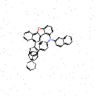 c1c(C2C=CC=CC2)ccc(N(c2ccc3ccccc3c2)c2cccc3oc4c5ccccc5c(-c5ccc(C6CC=CCC6)cc5)cc4c23)c#1